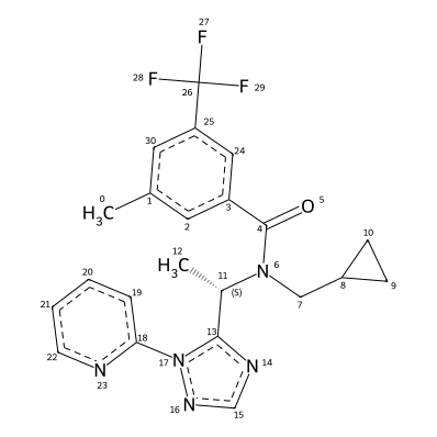 Cc1cc(C(=O)N(CC2CC2)[C@@H](C)c2ncnn2-c2ccccn2)cc(C(F)(F)F)c1